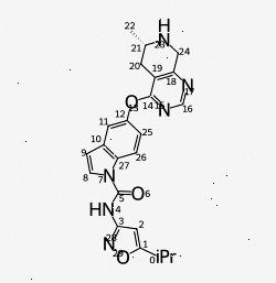 CC(C)c1cc(NC(=O)n2ccc3cc(Oc4ncnc5c4C[C@H](C)NC5)ccc32)no1